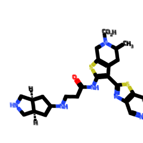 CC1Cc2c(sc(NC(=O)CCNC3C[C@H]4CNC[C@H]4C3)c2-c2nc3cnccc3s2)CN1C(=O)O